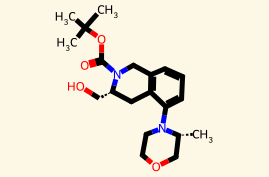 C[C@@H]1COCCN1c1cccc2c1C[C@H](CO)N(C(=O)OC(C)(C)C)C2